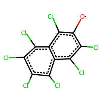 [O]c1c(Cl)c(Cl)c2c(Cl)c(Cl)c(Cl)c(Cl)c2c1Cl